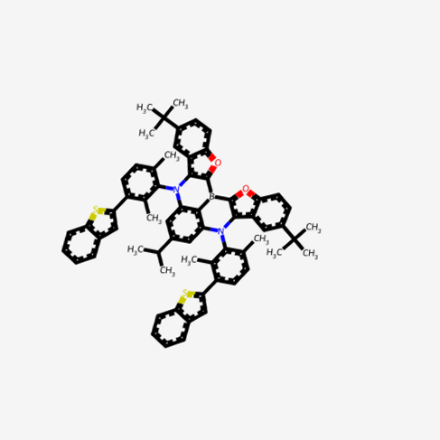 Cc1ccc(-c2cc3ccccc3s2)c(C)c1N1c2cc(C(C)C)cc3c2B(c2oc4ccc(C(C)(C)C)cc4c21)c1oc2ccc(C(C)(C)C)cc2c1N3c1c(C)ccc(-c2cc3ccccc3s2)c1C